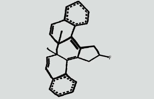 CC12C=Cc3ccccc3C1=C1CC(F)CC1=C1c3ccccc3C=CC12C